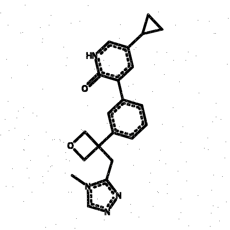 Cn1cnnc1CC1(c2cccc(-c3cc(C4CC4)c[nH]c3=O)c2)COC1